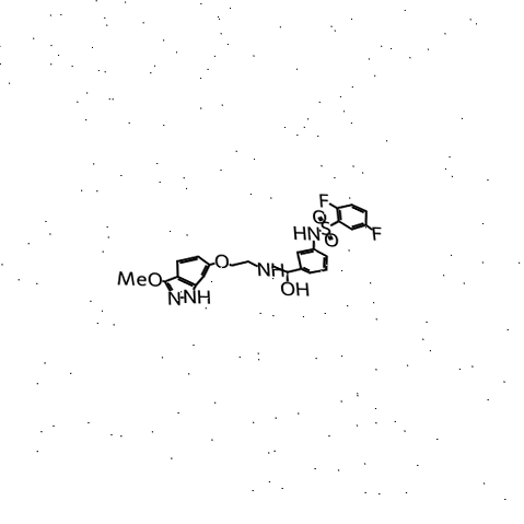 COc1n[nH]c2cc(OCCNC[C@H](O)c3cccc(NS(=O)(=O)c4cc(F)ccc4F)c3)ccc12